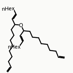 C=CCCCCCCCC(/C=C/CCCCCC)OC(/C=C/CCCCCC)CCCCCCCC=C